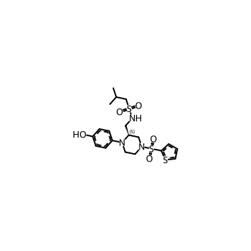 CC(C)CS(=O)(=O)NC[C@H]1CN(S(=O)(=O)c2cccs2)CCN1c1ccc(O)cc1